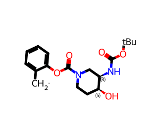 [CH2]c1ccccc1OC(=O)N1CC[C@H](O)[C@H](NC(=O)OC(C)(C)C)C1